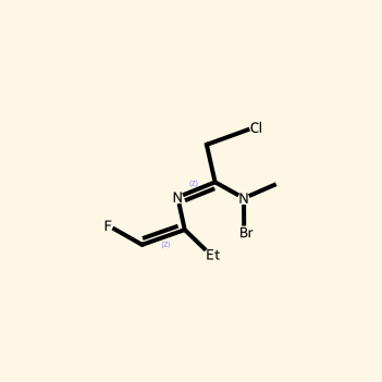 CCC(=C/F)/N=C(/CCl)N(C)Br